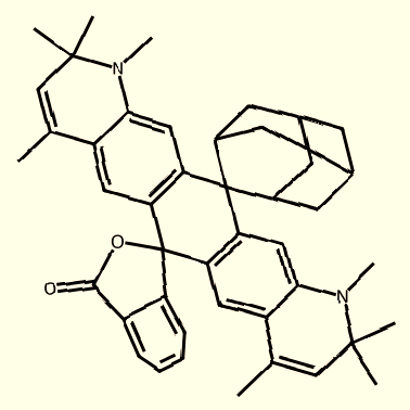 CC1=CC(C)(C)N(C)c2cc3c(cc21)C1(OC(=O)c2ccccc21)c1cc2c(cc1C31C3CC4CC(C3)CC1C4)N(C)C(C)(C)C=C2C